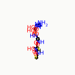 Nc1ncnc2c1ncn2[C@@H]1O[C@H](COS(=O)(=O)NCc2ccc(NC(=O)OCC3=C(CO)N4C(=O)[C@@H](NC(=O)Cc5cccs5)[C@H]4SC3)cc2)[C@@H](O)[C@H]1O